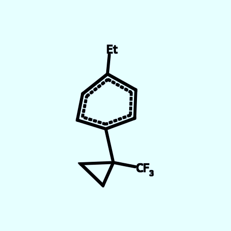 CCc1ccc(C2(C(F)(F)F)CC2)cc1